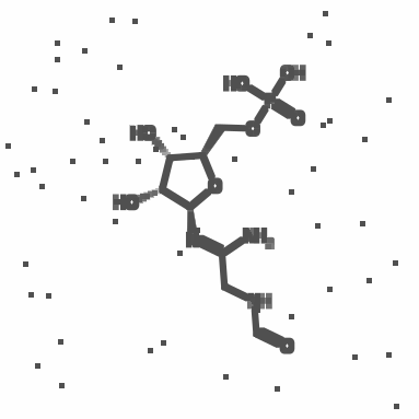 NC(CNC=O)=N[C@@H]1O[C@H](COP(=O)(O)O)[C@@H](O)[C@H]1O